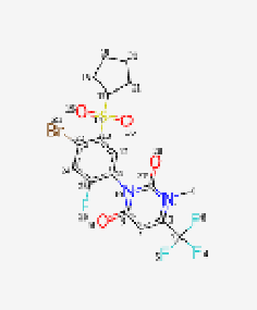 Cn1c(C(F)(F)F)cc(=O)n(-c2cc(S(=O)(=O)C3CCCC3)c(Br)cc2F)c1=O